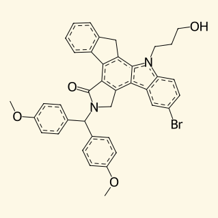 COc1ccc(C(c2ccc(OC)cc2)N2Cc3c(c4c(c5c3c3cc(Br)ccc3n5CCCO)Cc3ccccc3-4)C2=O)cc1